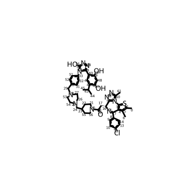 Cc1sc2c(c1C)C(c1ccc(Cl)cc1)=N[C@H](CC(=O)N1CCC(CN3CCN(Cc4ccc(-n5c(O)nnc5-c5cc(C(C)C)c(O)cc5O)cc4)CC3)CC1)c1nnc(C)n1-2